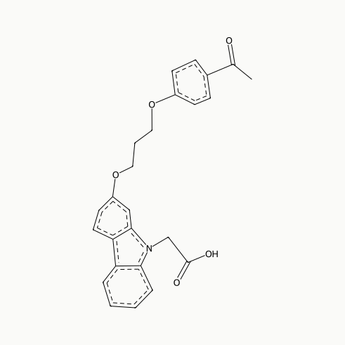 CC(=O)c1ccc(OCCCOc2ccc3c4ccccc4n(CC(=O)O)c3c2)cc1